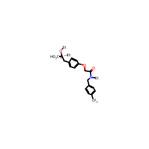 CCO[C@@](CC)(Cc1ccc(OCC(=O)N(CC)Cc2ccc(C(F)(F)F)cc2)cc1)C(=O)O